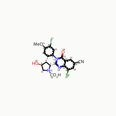 COc1ccc(-n2c([C@H]3C[C@H](O)CN3C(=O)O)nc3c(Br)cc(C#N)cc3c2=O)cc1F